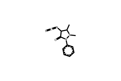 CC1C(N=C=S)C(=O)N(c2ccccc2)N1C